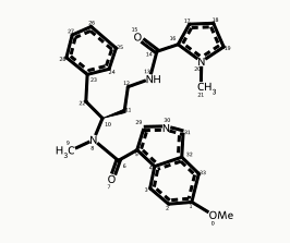 COc1ccc2c(C(=O)N(C)[C@H](CCNC(=O)c3cccn3C)Cc3ccccc3)cncc2c1